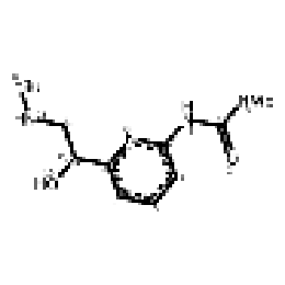 CNC(=O)Nc1cccc([C@@H](O)CNC(C)(C)C)n1